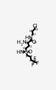 N=S(=O)(CCCC(F)(F)F)CC[C@H](N)C(=O)NCCCCl